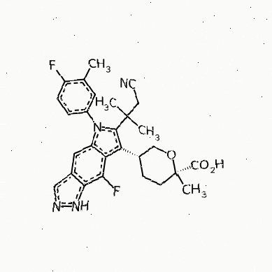 Cc1cc(-n2c(C(C)(C)CC#N)c([C@H]3CC[C@@](C)(C(=O)O)OC3)c3c(F)c4[nH]ncc4cc32)ccc1F